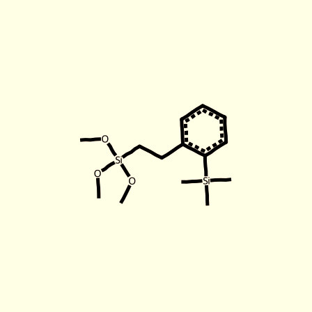 CO[Si](CCc1ccccc1[Si](C)(C)C)(OC)OC